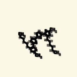 CCCCCCc1cc(C)sc1-c1ccc(-c2ccc(-c3sc(C)cc3CCCCCC)s2)s1